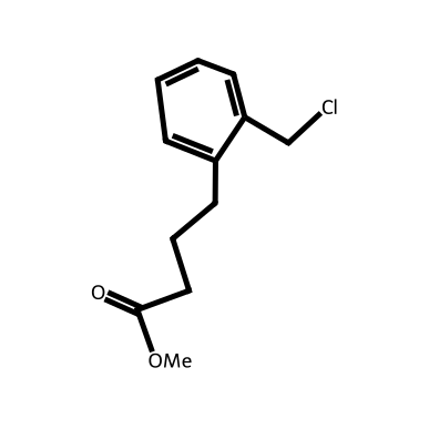 COC(=O)CCCc1ccccc1CCl